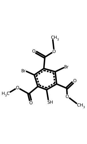 COC(=O)c1c(S)c(C(=O)OC)c(Br)c(C(=O)OC)c1Br